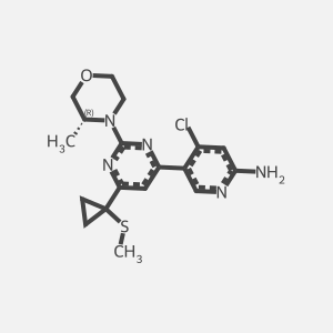 CSC1(c2cc(-c3cnc(N)cc3Cl)nc(N3CCOC[C@H]3C)n2)CC1